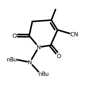 CCCCN(CCCC)N1C(=O)CC(C)=C(C#N)C1=O